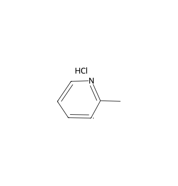 Cc1[c]cccn1.Cl